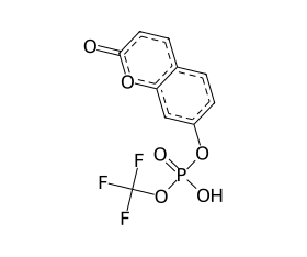 O=c1ccc2ccc(OP(=O)(O)OC(F)(F)F)cc2o1